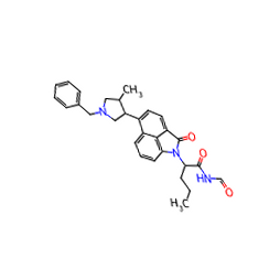 CCCC(C(=O)NC=O)N1C(=O)c2ccc(C3CN(Cc4ccccc4)CC3C)c3cccc1c23